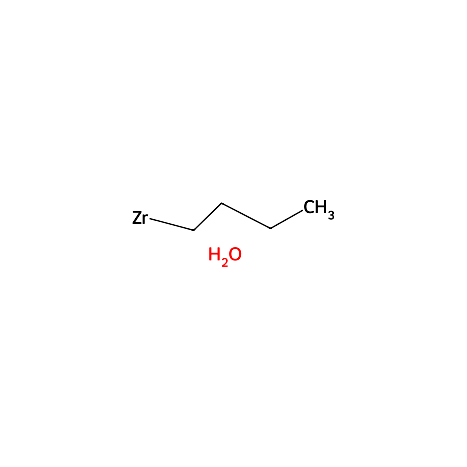 CCC[CH2][Zr].O